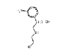 Cl.Cl.Nc1cccc(CCNCCO)c1